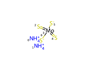 [NH4+].[NH4+].[S]=[Mo](=[S])([S-])[S-]